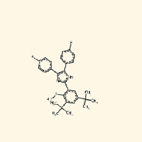 CSc1c(-c2nc(-c3ccc(F)cc3)c(-c3ccc(F)cc3)[nH]2)cc(C(C)(C)C)cc1C(C)(C)C